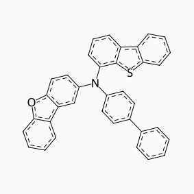 c1ccc(-c2ccc(N(c3ccc4oc5ccccc5c4c3)c3cccc4c3sc3ccccc34)cc2)cc1